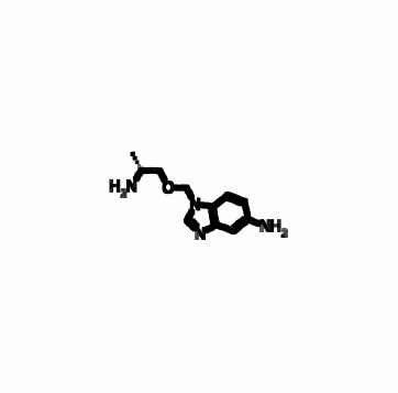 C[C@@H](N)COCn1cnc2cc(N)ccc21